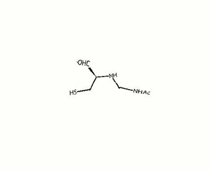 CC(=O)NCN[C@H]([C]=O)CS